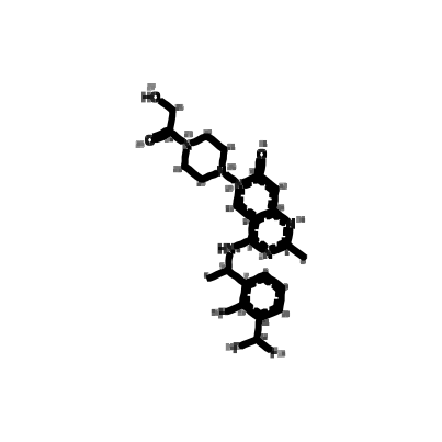 Cc1nc(NC(C)c2cccc(C(F)F)c2F)c2cn(N3CCN(C(=O)CO)CC3)c(=O)cc2n1